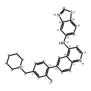 Fc1cc(CN2CCCCC2)ccc1-c1ccc2nccc(Nc3ccc4scnc4c3)c2c1